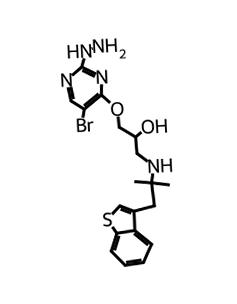 CC(C)(Cc1csc2ccccc12)NCC(O)COc1nc(NN)ncc1Br